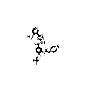 Cc1ccncc1-c1nnc(NC(=O)c2ccc(OCC(F)(F)F)c(NC(=O)CN3CCN(C)CC3)c2)s1